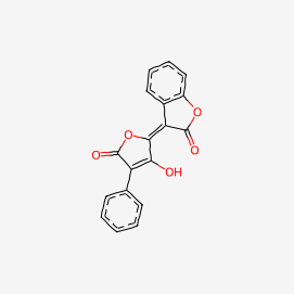 O=C1O/C(=C2/C(=O)Oc3ccccc32)C(O)=C1c1ccccc1